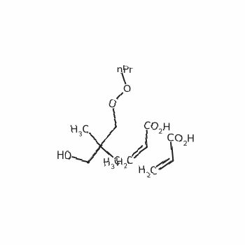 C=CC(=O)O.C=CC(=O)O.CCCOOCC(C)(C)CO